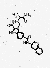 CC(=O)C(N)C1Cc2c([nH]c3ccc(C(=O)Nc4cnc5ccccc5c4)cc23)C(=O)N1